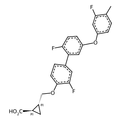 Cc1ccc(Oc2ccc(F)c(-c3ccc(OC[C@@H]4C[C@H]4C(=O)O)c(F)c3)c2)cc1F